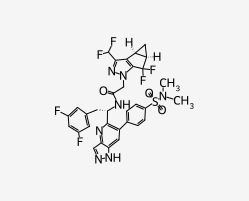 CN(C)S(=O)(=O)c1ccc(-c2cc3[nH]ncc3nc2[C@H](Cc2cc(F)cc(F)c2)NC(=O)Cn2nc(C(F)F)c3c2C(F)(F)[C@@H]2C[C@H]32)cc1